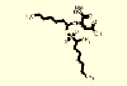 CCCCCCC(C)OS(=O)(=S)C(C)CCCCCC.O=C(O)/C=C\C(=O)O.[NaH]